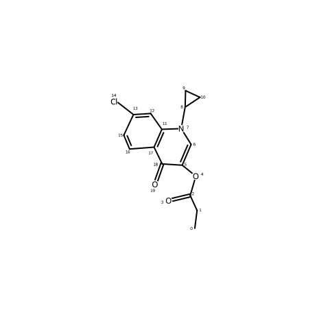 CCC(=O)Oc1cn(C2CC2)c2cc(Cl)ccc2c1=O